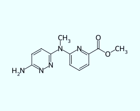 COC(=O)c1cccc(N(C)c2ccc(N)nn2)n1